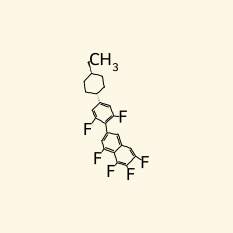 CC[C@H]1CC[C@H](c2cc(F)c(-c3cc(F)c4c(F)c(F)c(F)cc4c3)c(F)c2)CC1